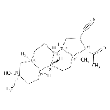 CC(=O)[C@H]1C(C#N)C[C@H]2[C@@H]3CC[C@@H]4C[C@](C)(O)CC[C@@H]4[C@H]3CC[C@]12C